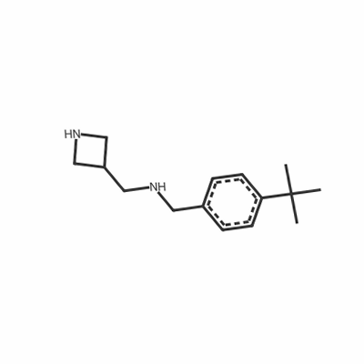 CC(C)(C)c1ccc(CNCC2CNC2)cc1